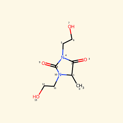 CC1C(=O)N(CCO)C(=O)N1CCO